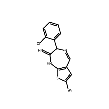 CC(C)c1cc2c(s1)NC(=N)C(c1ccccc1Cl)N=C2